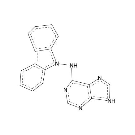 c1ccc2c(c1)c1ccccc1n2Nc1ncnc2[nH]cnc12